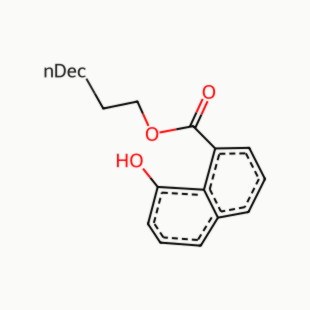 CCCCCCCCCCCCOC(=O)c1cccc2cccc(O)c12